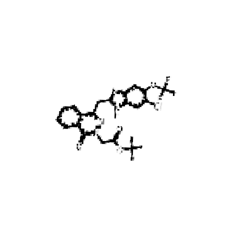 CC(C)(C)OC(=O)Cn1nc(Cc2nc3cc(OC(F)(F)F)c(Cl)cc3[nH]2)c2ccccc2c1=O